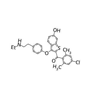 CCNCCc1ccc(Oc2c(C(=O)c3c(C)cc(Cl)cc3C)sc3cc(O)ccc23)cc1